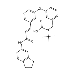 CC(C)(C)N(Cc1cc(Oc2cccc(/C=C/C(=O)Nc3ccc4c(c3)CCC4)c2)ccn1)C(=O)O